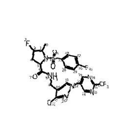 CC1C(F)CC(C(=O)NCc2cn(-c3cnc(C(F)(F)F)nc3)nc2Cl)N1S(=O)(=O)c1ccc(F)cc1